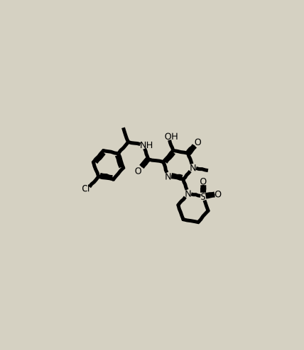 CC(NC(=O)c1nc(N2CCCCS2(=O)=O)n(C)c(=O)c1O)c1ccc(Cl)cc1